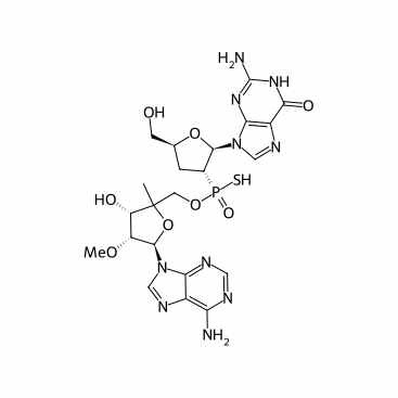 CO[C@H]1[C@H](n2cnc3c(N)ncnc32)OC(C)(COP(=O)(S)[C@@H]2C[C@@H](CO)O[C@H]2n2cnc3c(=O)[nH]c(N)nc32)[C@H]1O